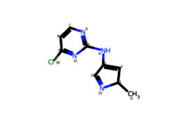 CC1C=C(Nc2nccc(Cl)n2)C=N1